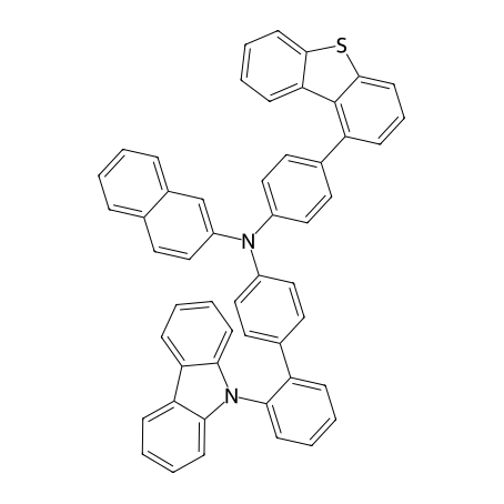 c1ccc(-n2c3ccccc3c3ccccc32)c(-c2ccc(N(c3ccc(-c4cccc5sc6ccccc6c45)cc3)c3ccc4ccccc4c3)cc2)c1